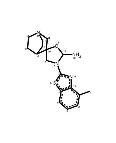 Cc1cccc2sc(N3CC4(CN5CCC4CC5)OC3N)nc12